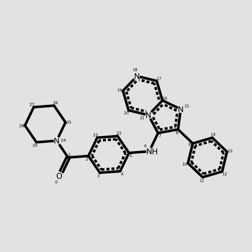 O=C(c1ccc(Nc2c(-c3ccccc3)nc3cnccn23)cc1)N1CCCCC1